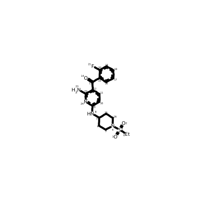 CCS(=O)(=O)N1CCC(Nc2ccc(C(=O)c3ccccc3F)c(N)n2)CC1